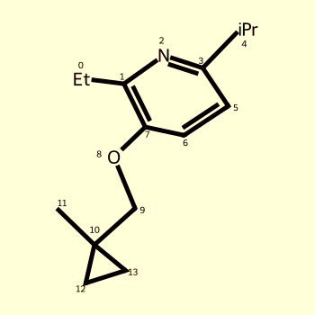 CCc1nc(C(C)C)ccc1OCC1(C)CC1